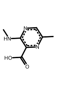 CNc1ncc(C)nc1C(=O)O